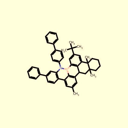 Cc1cc2c3c(c1)C1CC4(C)CCCCC4(C)c4cc(C(C)(C)C)cc(c41)B3N(c1ccc(-c3ccccc3)cc1)c1cc(-c3ccccc3)ccc1-2